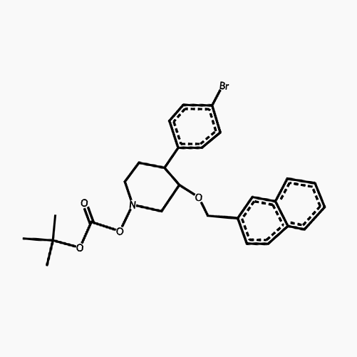 CC(C)(C)OC(=O)ON1CCC(c2ccc(Br)cc2)C(OCc2ccc3ccccc3c2)C1